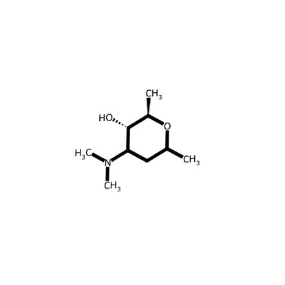 CC1CC(N(C)C)[C@H](O)[C@@H](C)O1